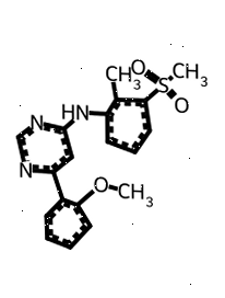 COc1ccccc1-c1cc(Nc2cccc(S(C)(=O)=O)c2C)ncn1